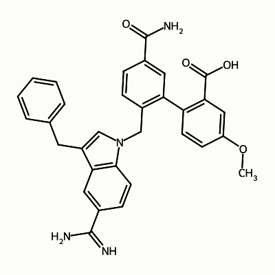 COc1ccc(-c2cc(C(N)=O)ccc2Cn2cc(Cc3ccccc3)c3cc(C(=N)N)ccc32)c(C(=O)O)c1